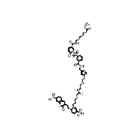 CCN(CC)c1ccc2cc(C=Cc3ccc(S(=O)(=O)[O-])c[n+]3CCCCCC(=O)NCCOCCn3cc(CNC(=O)c4cccc(S(=O)(=O)n5cc(C(=O)NCCCCCCC(=O)OC(C)(C)C)ccc5=O)c4)nn3)c(=O)oc2c1